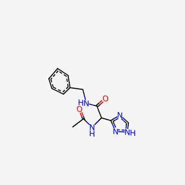 CC(=O)NC(C(=O)NCc1ccccc1)c1nc[nH]n1